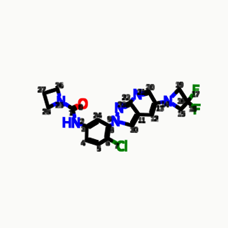 O=C(Nc1ccc(Cl)c(-n2cc3cc(N4CC(F)(F)C4)cnc3n2)c1)N1CCC1